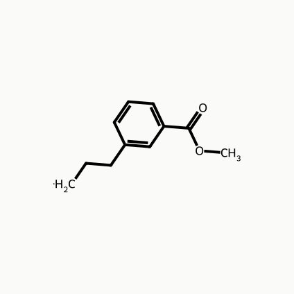 [CH2]CCc1cccc(C(=O)OC)c1